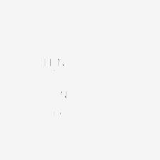 Nc1ccccc1/C=N/O